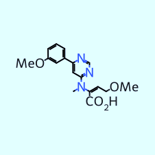 COCC=C(C(=O)O)N(C)c1cc(-c2cccc(OC)c2)ncn1